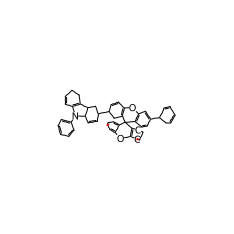 C1=CCC(c2ccc3c(c2)OC2=C(CC(C4C=CC5C(C4)C4=C(C=CCC4)N5c4ccccc4)C=C2)C32C3=C(CCCC3)Oc3ccccc32)C=C1